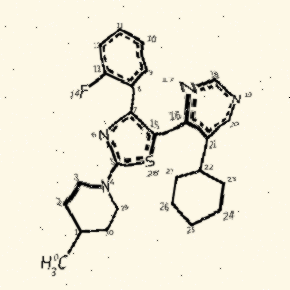 CC1CCN(c2nc(-c3ccccc3F)c(-c3n[c]ncc3C3CCCCC3)s2)CC1